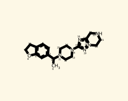 CC(c1ccc2c(c1)OCC2)N1CCN(c2nc3n(n2)CCNC3)CC1